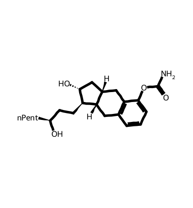 CCCCC[C@H](O)CC[C@@H]1[C@H]2Cc3cccc(OC(N)=O)c3C[C@H]2C[C@H]1O